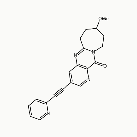 COC1CCc2nc3cc(C#Cc4ccccn4)cnc3c(=O)n2CC1